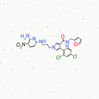 Nc1nc(NCCCn2cc(C(=O)NCc3ccco3)c(-c3ccc(Cl)cc3Cl)c2)ccc1[N+](=O)[O-]